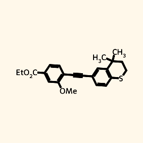 CCOC(=O)c1ccc(C#Cc2ccc3c(c2)C(C)(C)CCS3)c(OC)c1